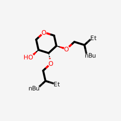 CCCCC(CC)CO[C@@H]1[C@@H](O)COC[C@H]1OCC(CC)CCCC